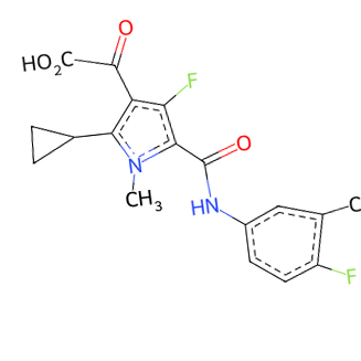 Cn1c(C(=O)Nc2ccc(F)c(C#N)c2)c(F)c(C(=O)C(=O)O)c1C1CC1